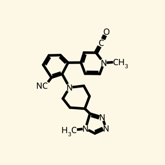 CN1C=CC(c2cccc(C#N)c2N2CCC(c3nncn3C)CC2)=CC1=C=O